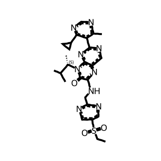 CCS(=O)(=O)c1cnc(CNc2nc3cnc(-c4c(C)ncnc4C4CC4)nc3n([C@@H](C)C(C)C)c2=O)nc1